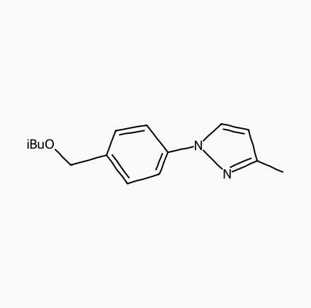 Cc1ccn(-c2ccc(COCC(C)C)cc2)n1